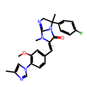 COc1cc(/C=c2/c(=O)n3c(n2C)=NCC3(C)c2ccc(F)cc2)ccc1-n1cnc(C)c1